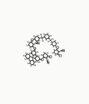 CC(C)(c1ccc(Oc2cccc(Cl)c2C#N)cc1)c1cccc(C(C)(C)c2ccc(Oc3cccc(Oc4ccc(C5(c6ccc(Oc7cccc(Cl)c7C#N)cc6)c6ccccc6-c6ccccc65)cc4)c3C#N)cc2)c1